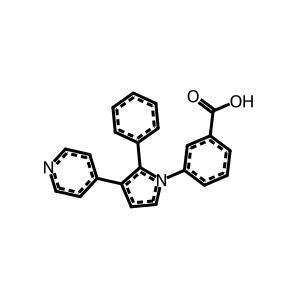 O=C(O)c1cccc(-n2ccc(-c3ccncc3)c2-c2ccccc2)c1